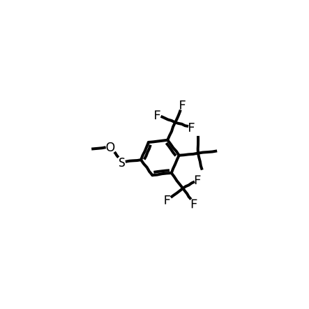 COSc1cc(C(F)(F)F)c(C(C)(C)C)c(C(F)(F)F)c1